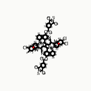 Cc1cc2nc(/C(C#N)=c3/c4c(-c5ccc(OC(=O)c6ccc7c(c6)C(=O)N(C)C7=O)cc5)n(B(c5ccccc5)c5ccccc5)/c(=C(/C#N)c5cnc6cc(Cl)c(Cl)cc6n5)c4c(-c4ccc(OC(=O)c5ccc6c(c5)C(=O)N(C)C6=O)cc4)n3B(c3ccccc3)c3ccccc3)cnc2cc1Cl